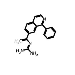 C=C(N=C(N)N)c1ccc2ccnc(-c3ccccc3)c2c1